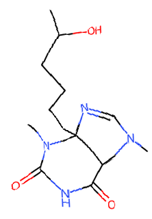 CC(O)CCCC12N=CN(C)C1C(=O)NC(=O)N2C